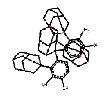 Nc1c(O)ccc(C2(c3ccc(O)c(N)c3C34CC5CC(CC(C5)C3)C4)C3CC4CC(C3)CC2(C23CC5CC(CC(C5)C2)C3)C4)c1C12CC3CC(CC(C3)C1)C2